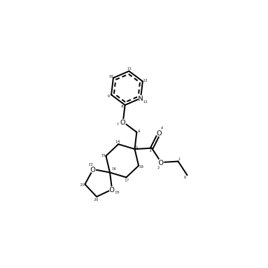 CCOC(=O)C1(COc2ccccn2)CCC2(CC1)OCCO2